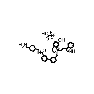 NCC1CCC(CNC(=O)c2cccc(-c3cccc(CN(CCc4ccc(O)cc4)C(=O)CCc4c[nH]c5ccccc45)c3)c2)CC1.O=C(O)C(F)(F)F